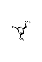 CC=CC=CC(=O)O.CCCC(O)Cl